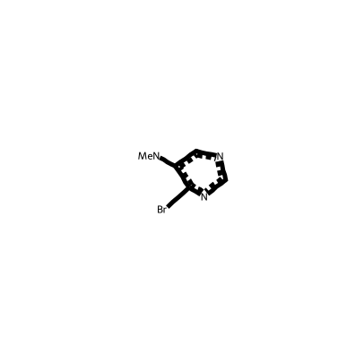 CNc1cncnc1Br